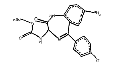 CCCCOC(=O)NC1N=C(c2ccc(Cl)cc2)c2cc(P)ccc2NC1=O